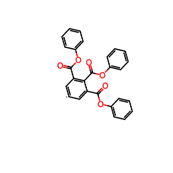 O=C(Oc1ccccc1)c1c[c]cc(C(=O)Oc2ccccc2)c1C(=O)Oc1ccccc1